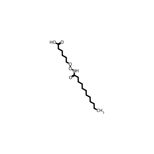 CCCCCCCCCCCC(=O)NOOCCCCCC(=O)O